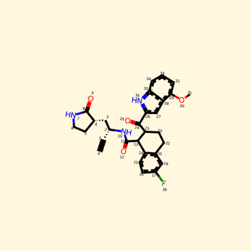 C#C[C@H](C[C@@H]1CCNC1=O)NC(=O)C1c2ccc(F)cc2CCC1C(=O)c1cc2c(OC)cccc2[nH]1